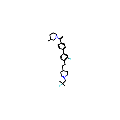 C=C(c1ccc(-c2ccc(CCC3CCN(CC(C)(C)F)CC3)c(F)c2)cc1)N1CCCC(C)C1